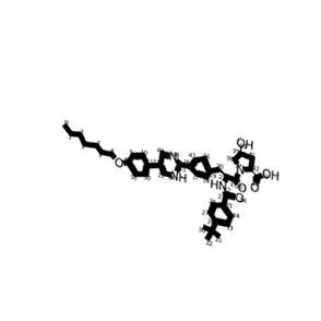 CCCCCCCOc1ccc(C2=CNC(c3ccc(C[C@H](NC(=O)c4ccc(C(C)(C)C)cc4)C(=O)N4C[C@H](O)C[C@@H]4C(=O)O)cc3)N=C2)cc1